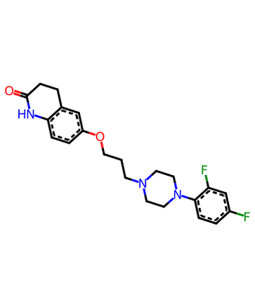 O=C1CCc2cc(OCCCN3CCN(c4ccc(F)cc4F)CC3)ccc2N1